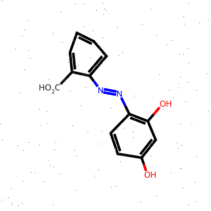 O=C(O)c1ccccc1/N=N/c1ccc(O)cc1O